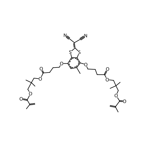 C=C(C)C(=O)OCC(C)(C)COC(=O)CCCOc1cc(C)c(OCCCC(=O)OCC(C)(C)COC(=O)C(=C)C)c2c1SC(=C(C#N)C#N)S2